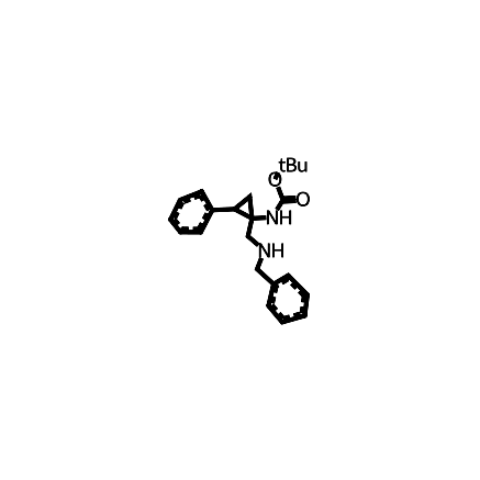 CC(C)(C)OC(=O)NC1(CNCc2ccccc2)CC1c1ccccc1